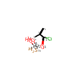 C=C(C)C(=O)Cl.CCO.CCO.S